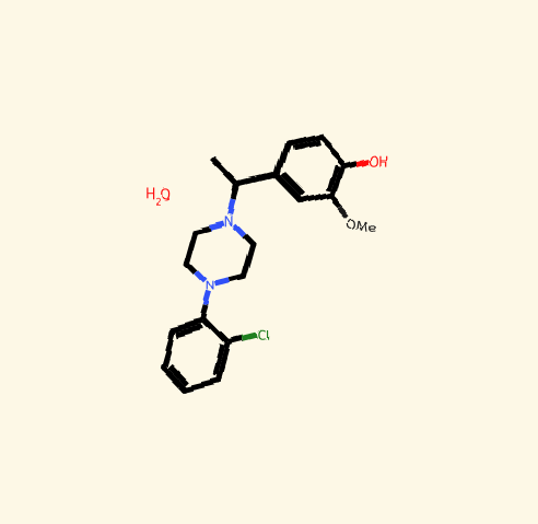 COc1cc(C(C)N2CCN(c3ccccc3Cl)CC2)ccc1O.O